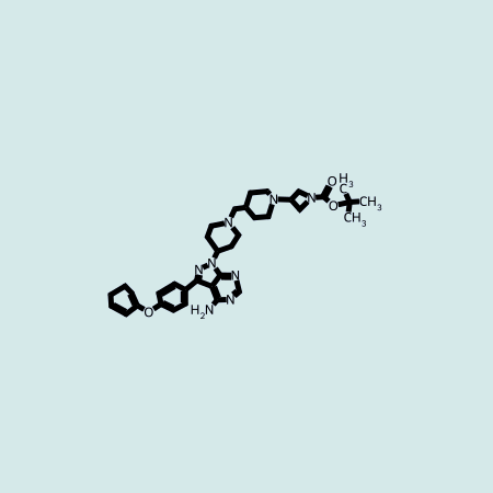 CC(C)(C)OC(=O)N1CC(N2CCC(CN3CCC(n4nc(-c5ccc(OC6=CCCC=C6)cc5)c5c(N)ncnc54)CC3)CC2)C1